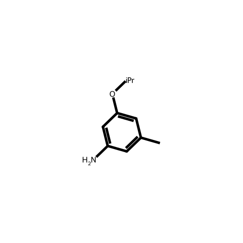 Cc1cc(N)cc(OC(C)C)c1